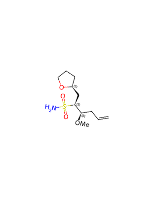 C=CC[C@@H](OC)[C@H](C[C@@H]1CCCO1)S(N)(=O)=O